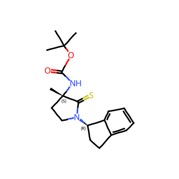 CC(C)(C)OC(=O)N[C@@]1(C)CCN([C@@H]2CCc3ccccc32)C1=S